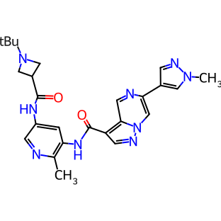 Cc1ncc(NC(=O)C2CN(C(C)(C)C)C2)cc1NC(=O)c1cnn2cc(-c3cnn(C)c3)ncc12